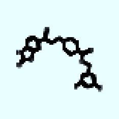 O=C(CCN1CCN(C(=O)OCc2cc(F)cc(F)c2)CC1)c1ccc2[nH]c(=O)oc2c1